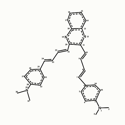 CN(C)c1ccc(C=CC=Cc2nc3ccccc3nc2C=CC=Cc2ccc(N(C)C)cc2)cc1